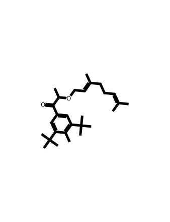 CC(C)=CCC/C(C)=C/COC(C)C(=O)c1cc(C(C)(C)C)c(C)c(C(C)(C)C)c1